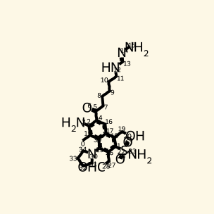 Cc1c(N)c(C(=O)CCCCCNC=NN)cc2c(CO)c(S(N)(=O)=O)c(CC=O)c(N3CCCC3)c12